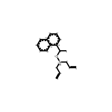 C=CC[SiH](CC=C)OC(C)c1cccc2ccccc12